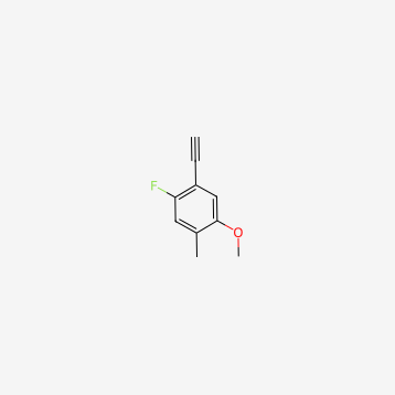 C#Cc1cc(OC)c(C)cc1F